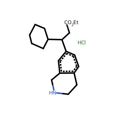 CCOC(=O)CC(c1ccc2c(c1)CNCC2)C1CCCCC1.Cl